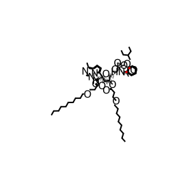 CCCCCCCCCCOCCC(=O)O[C@H]1[C@@H](OC(=O)CCOCCCCCCCCCC)[C@](C#N)(c2ccc3c(C)ncnn23)O[C@@H]1COP(=O)(N[C@H](C)C(=O)OCC(CC)CC)Oc1ccccc1